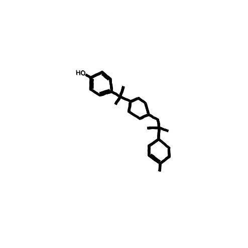 CC1=CCC(C(C)(C)CC2CCC(C(C)(C)c3ccc(O)cc3)CC2)CC1